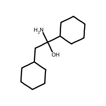 NC(O)(CC1CCCCC1)C1CCCCC1